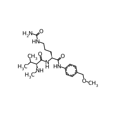 CN[C@H](C(=O)N[C@@H](CCCNC(N)=O)C(=O)Nc1ccc(COC)cc1)C(C)C